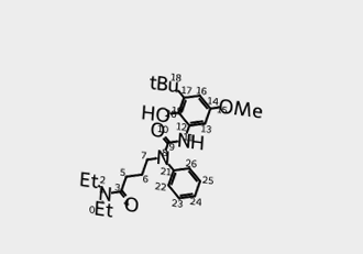 CCN(CC)C(=O)CCCN(C(=O)Nc1cc(OC)cc(C(C)(C)C)c1O)c1ccccc1